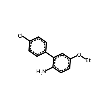 CCOc1ccc(N)c(-c2ccc(Cl)cc2)c1